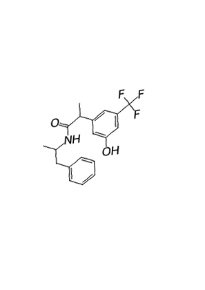 CC(Cc1ccccc1)NC(=O)C(C)c1cc(O)cc(C(F)(F)F)c1